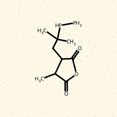 CC1C(=O)OC(=O)C1CC(C)(C)PP